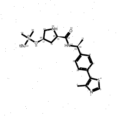 Cc1ncsc1-c1ccc([C@H](C)NC(=O)[C@H]2C[C@@H](O[Si](C)(C)C(C)(C)C)CN2)cc1